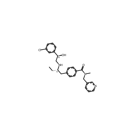 CC[C@@H](Cc1ccc(C(=O)N(C)Cc2cccnc2)cc1)NC[C@H](O)c1cccc(Cl)c1